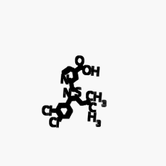 CC(C)Cc1sc(-c2cc(C(=O)O)ccn2)nc1-c1ccc(Cl)c(Cl)c1